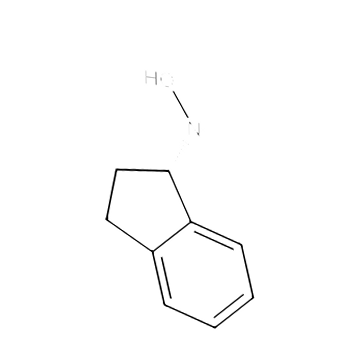 O[N][C@H]1CCc2ccccc21